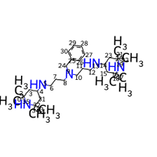 CC1(C)CC(NCCCN(CCCNC2CC(C)(C)NC(C)(C)C2)Cc2ccccc2)CC(C)(C)N1